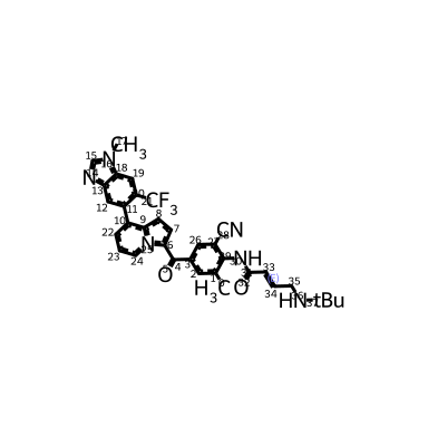 Cc1cc(C(=O)c2ccc3c(-c4cc5ncn(C)c5cc4C(F)(F)F)cccn23)cc(C#N)c1NC(=O)/C=C/CNC(C)(C)C